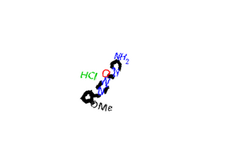 COc1ccccc1CN1CCN(C(=O)CN2CCC(N)CC2)CC1.Cl